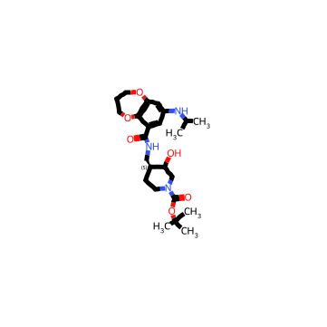 CC(C)Nc1cc2c(c(C(=O)NC[C@@H]3CCN(C(=O)OC(C)(C)C)CC3O)c1)OCCCO2